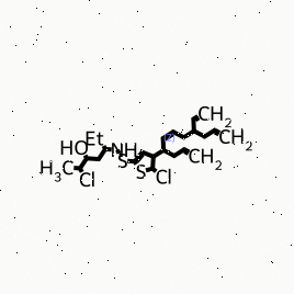 C=CCC(C=C)C/C=C\C(CC=C)C1C=C(SNC(CC)CC(O)C(C)Cl)SC1Cl